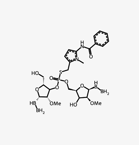 BB[C@@H]1O[C@H](COP(=O)(OC2[C@@H](CO)O[C@@H](BB)[C@H]2OC)SCc2ccc(NC(=O)c3ccccc3)n2C)C(O)[C@@H]1OC